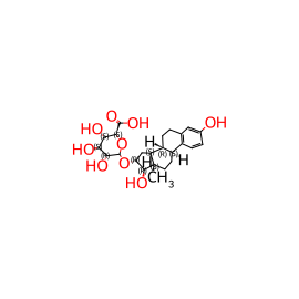 C[C@]12CC[C@@H]3c4ccc(O)cc4CC[C@H]3[C@@H]1C[C@@H](OC1O[C@H](C(=O)O)[C@@H](O)[C@H](O)[C@H]1O)[C@@H]2O